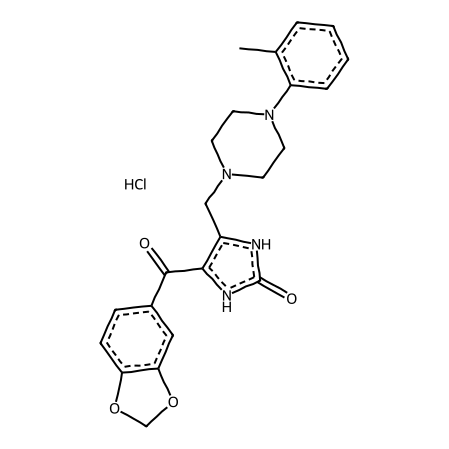 Cc1ccccc1N1CCN(Cc2[nH]c(=O)[nH]c2C(=O)c2ccc3c(c2)OCO3)CC1.Cl